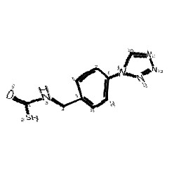 O=C(S)NCc1ccc(-n2cnnn2)cc1